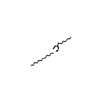 CCCCCCCCCCCC[n+]1ccc(CCCCCCC)cc1.[Cl-]